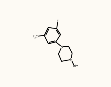 CCCN1CCN(c2cc(F)cc(C(F)(F)F)c2)CC1